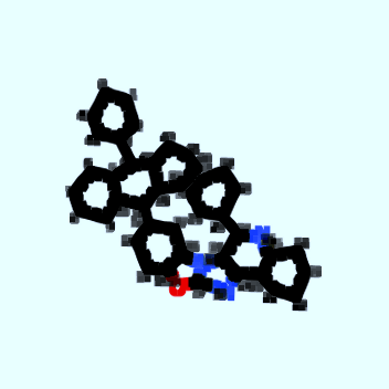 c1ccc(-c2c3ccccc3c(-c3ccc4oc5nc6c7ccccc7nc(-c7ccccc7)c6n5c4c3)c3ccccc23)cc1